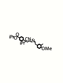 COc1ccc(CCN(C)CCCC(C#N)(c2ccc(C(=O)OC(C)C)cc2)C(C)C)cc1C